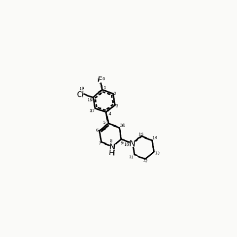 Fc1ccc(C2=CCNC(N3CCCCC3)C2)cc1Cl